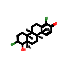 C[C@]12C=CC(=O)C(Cl)=C1CC[C@@H]1[C@@H]2CC[C@]2(C)C(O)C(Cl)=CC[C@@H]12